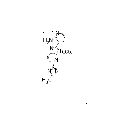 CC(=O)On1c(-c2cccnc2N)nc2ccc(-n3ncc(C)n3)nc21